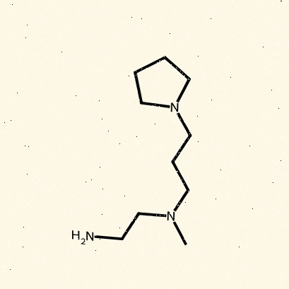 CN(CCN)CCCN1CCCC1